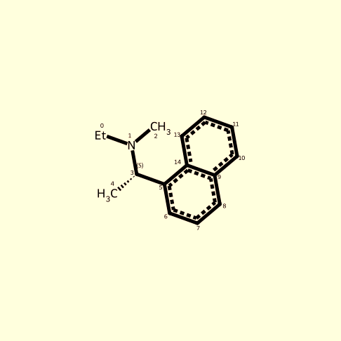 CCN(C)[C@@H](C)c1cccc2ccccc12